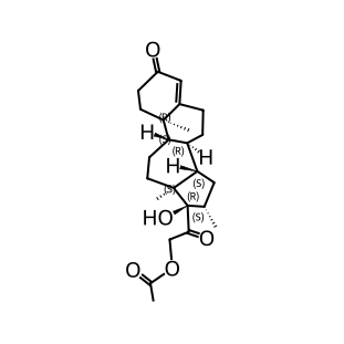 CC(=O)OCC(=O)[C@@]1(O)[C@@H](C)C[C@H]2[C@@H]3CCC4=CC(=O)CC[C@]4(C)[C@H]3CC[C@@]21C